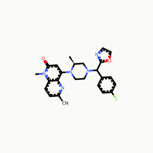 C[C@H]1CN(C(c2ccc(F)cc2)c2ncco2)CCN1c1cc(=O)n(C)c2ccc(C#N)nc12